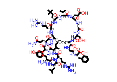 CCC(C)[C@@H](NC(=O)[C@@H](CCCNC(=N)N)NC(=O)[C@@H](CC(C)C)NC(=O)[C@@H](N)Cc1ccc(O)cc1)C(=O)N[C@@H](C(=O)N[C@H](CCC(N)=O)C(=O)N[C@@H]1CCCC[C@@H](C(=O)NCC(=O)N[C@@H](Cc2ccccc2)C(=O)O)NC(=O)C(CO)NC(=O)CNC(=O)[C@H](CCC(=O)O)NC(=O)[C@@H](C(C)C)NC(=O)[C@@H](CCC(C)(C)C)NC(=O)[C@@H](CCCNC(=N)N)NC1=O)C(C)C